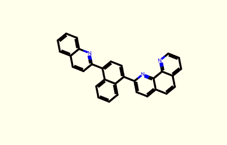 c1ccc2nc(-c3ccc(-c4ccc5ccc6cccnc6c5n4)c4ccccc34)ccc2c1